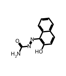 NC(=O)N=Nc1c(O)ccc2ccccc12